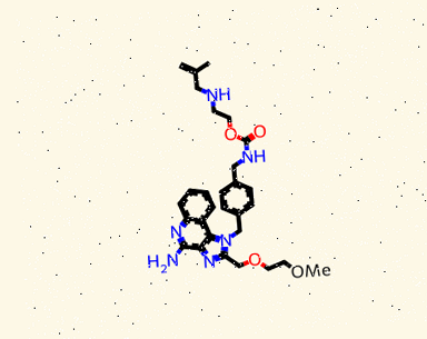 C=C(C)CNCCOC(=O)NCc1ccc(Cn2c(COCCOC)nc3c(N)nc4ccccc4c32)cc1